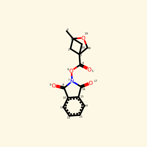 CC12CC(C(=O)ON3C(=O)c4ccccc4C3=O)(CO1)C2